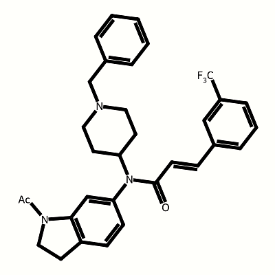 CC(=O)N1CCc2ccc(N(C(=O)C=Cc3cccc(C(F)(F)F)c3)C3CCN(Cc4ccccc4)CC3)cc21